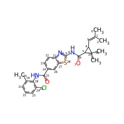 CC(C)=CC1C(C(=O)Nc2nc3ccc(C(=O)Nc4c(C)cccc4Cl)cc3s2)C1(C)C